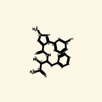 Cn1cc(C(=O)NC(Cc2ccccc2)C(O)C(N)=O)c(-c2cccc(F)c2)n1